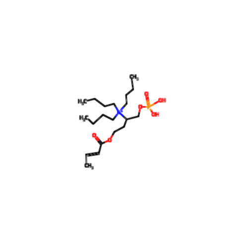 CC=CC(=O)OCCC(COP(=O)(O)O)[N+](CCCC)(CCCC)CCCC